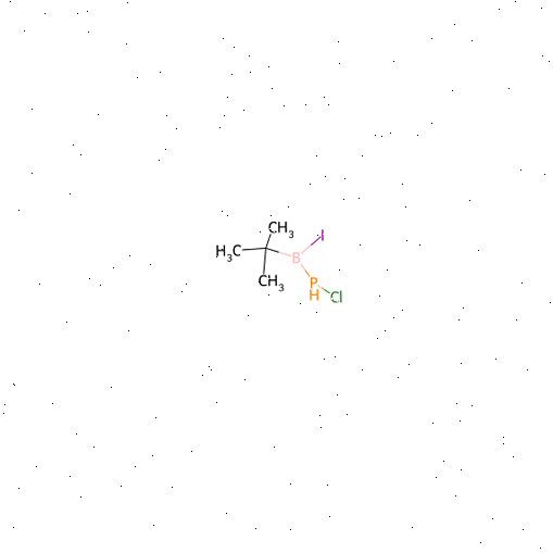 CC(C)(C)B(I)PCl